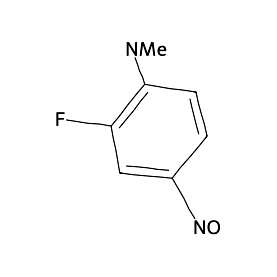 CNc1ccc(N=O)cc1F